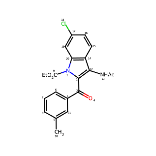 CCOC(=O)n1c(C(=O)c2cccc(C)c2)c(NC(C)=O)c2ccc(Cl)cc21